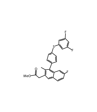 COC(=O)Cc1cc2ccc(F)cc2c(-c2ccc(Sc3cc(F)cc(F)c3)cc2)c1C